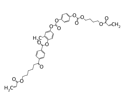 C=CC(=O)OCCCCCC(=O)c1ccc(C(=O)Oc2ccc(OC(=O)Oc3ccc(OC(=O)OCCCCOC(=O)C=C)cc3)cc2C)cc1